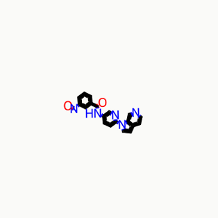 O=Nc1cccc(C(=O)Nc2ccc(-n3ccc4ccncc43)nc2)c1